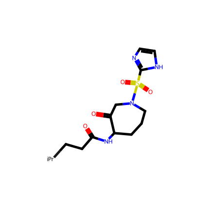 CC(C)CCC(=O)NC1CCCN(S(=O)(=O)c2ncc[nH]2)CC1=O